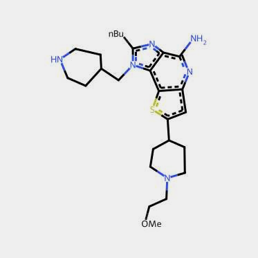 CCCCc1nc2c(N)nc3cc(C4CCN(CCOC)CC4)sc3c2n1CC1CCNCC1